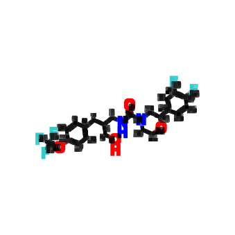 O=C(NCC(CO)Cc1ccc(OC(F)(F)F)cc1)N1CCOC(c2ccc(F)c(F)c2)C1